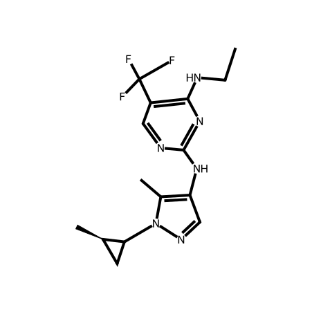 CCNc1nc(Nc2cnn(C3C[C@H]3C)c2C)ncc1C(F)(F)F